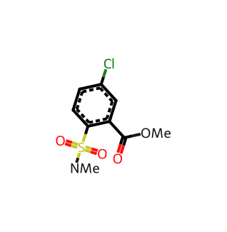 CNS(=O)(=O)c1ccc(Cl)cc1C(=O)OC